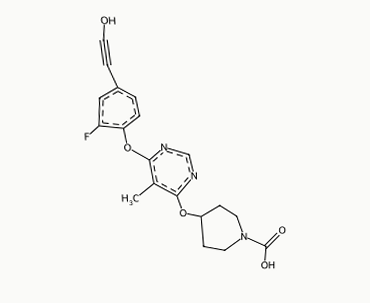 Cc1c(Oc2ccc(C#CO)cc2F)ncnc1OC1CCN(C(=O)O)CC1